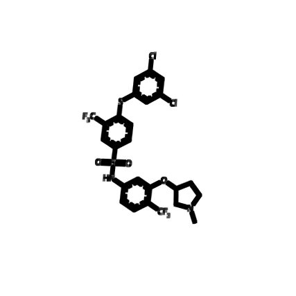 CN1CCC(Oc2cc(NS(=O)(=O)c3ccc(Sc4cc(Cl)cc(Cl)c4)c(C(F)(F)F)c3)ccc2C(F)(F)F)C1